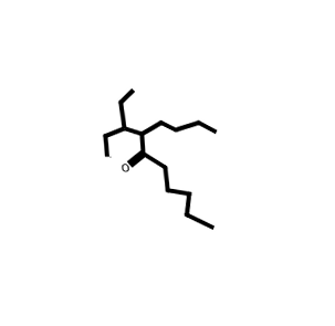 [CH2]CC(CC)C(CCCC)C(=O)CCCCC